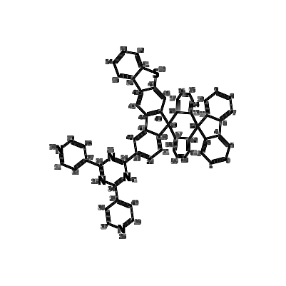 c1ccc2c(c1)-c1ccccc1C21c2ccccc2C2(c3ccc(-c4nc(-c5ccncc5)nc(-c5ccncc5)n4)cc3-c3cc4c(cc32)sc2ccccc24)c2ccccc21